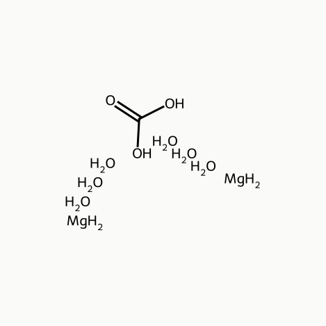 O.O.O.O.O.O.O=C(O)O.[MgH2].[MgH2]